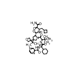 CC(C)(C)[C@H](NC(=O)[C@@H](NC(=O)c1cnccn1)C1CCCCC1)C(=O)N1CC2(C[C@H]1C(=O)NC(CC1CCC1)C(=O)C(N)=O)C(C)(C)C21COC1